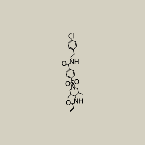 C=CC(=O)NC1C(C)CN(S(=O)(=O)c2ccc(C(=O)NCCc3ccc(Cl)cc3)cc2)CC1C